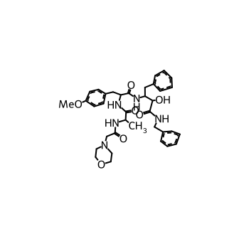 COc1ccc(CC(NC(=O)C(C)NC(=O)CN2CCOCC2)C(=O)NC(Cc2ccccc2)C(O)C(=O)NCc2ccccc2)cc1